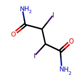 NC(=O)C(I)C(I)C(N)=O